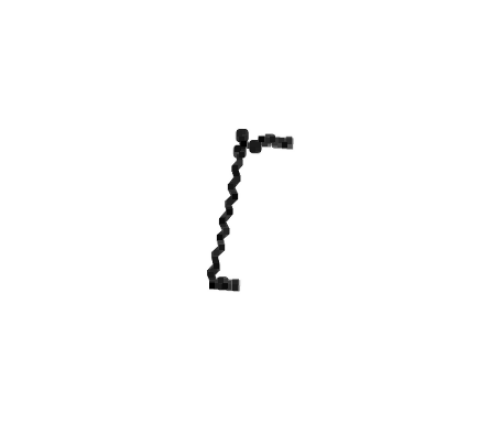 CCCCCCCCC=CCCCCCCCCCCCCOC(=O)OCCCCC